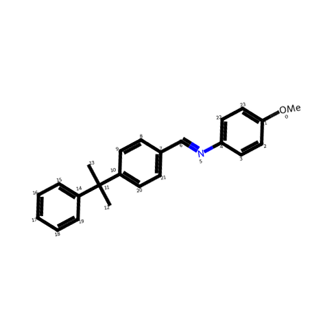 COc1ccc(N=Cc2ccc(C(C)(C)c3ccccc3)cc2)cc1